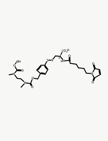 CN(CCN(C)C(=O)OC(C)(C)C)C(=O)OCc1ccc(SSC[C@H](NC(=O)CCCCCN2C(=O)C=CC2=O)C(=O)O)cc1